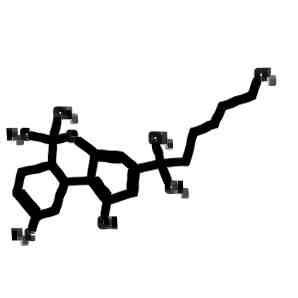 CC1=CCC2C(C1)c1c(O)cc(C(C)(C)CCCCCC(F)(F)F)cc1OC2(C)C